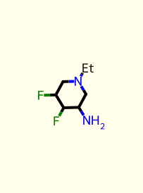 CCN1CC(N)C(F)C(F)C1